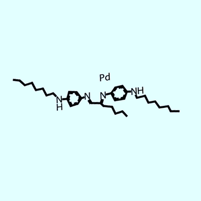 CCCCCCCCNc1ccc(N=CC(CCCCC)=Nc2ccc(NCCCCCCCC)cc2)cc1.[Pd]